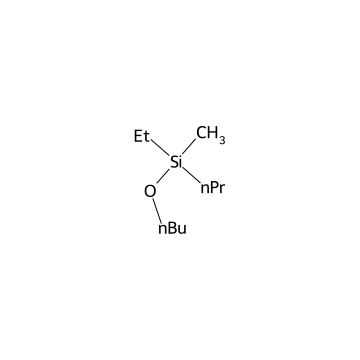 CCCCO[Si](C)(CC)CCC